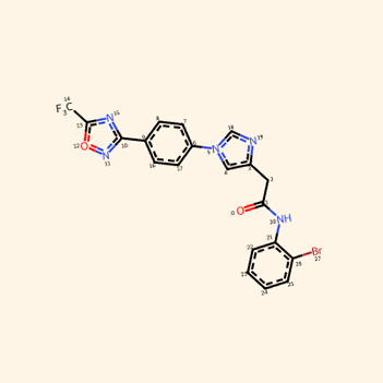 O=C(Cc1cn(-c2ccc(-c3noc(C(F)(F)F)n3)cc2)cn1)Nc1ccccc1Br